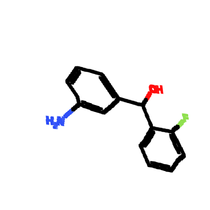 Nc1cccc(C(O)c2ccccc2F)c1